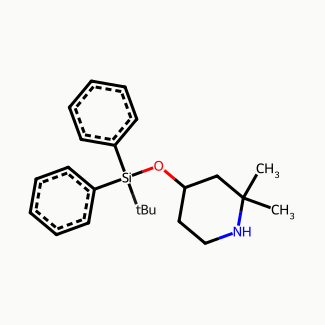 CC1(C)CC(O[Si](c2ccccc2)(c2ccccc2)C(C)(C)C)CCN1